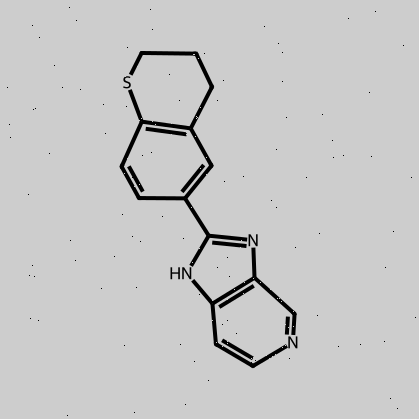 c1cc2[nH]c(-c3ccc4c(c3)CCCS4)nc2cn1